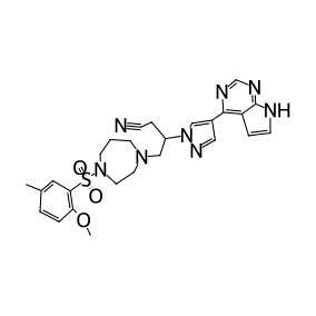 COc1ccc(C)cc1S(=O)(=O)N1CCCN(CC(CC#N)n2cc(-c3ncnc4[nH]ccc34)cn2)CC1